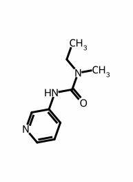 CCN(C)C(=O)Nc1cccnc1